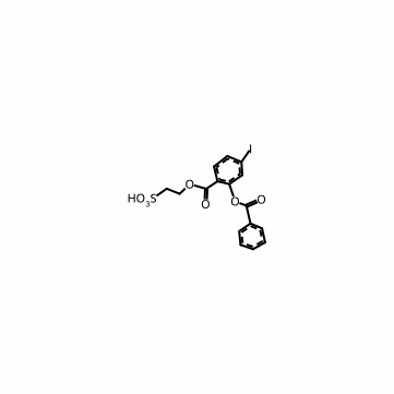 O=C(Oc1cc(I)ccc1C(=O)OCCS(=O)(=O)O)c1ccccc1